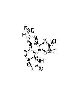 O=C1COc2ccc(-c3cc(C(F)(F)F)nn3-c3ccc(Cl)c(Cl)c3)cc2N1